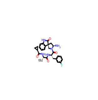 CC(C)(C)[C@H](NC(=O)C1CC1)C(=O)N[C@@H](Cc1cccc(F)c1)C(=O)N1C[C@]2(C[C@H]1N)C(=O)Nc1ccccc12